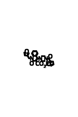 CCOC(=O)c1c(N2CCN(C(=O)c3ccco3)CC2)c2ccccc2n(Cc2ccoc2)c1=O